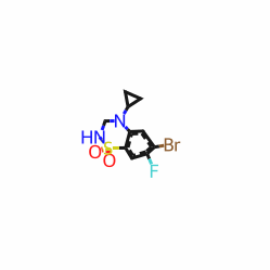 O=S1(=O)NCN(C2CC2)c2cc(Br)c(F)cc21